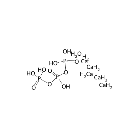 O.O=P(O)(O)OP(=O)(O)OP(=O)(O)O.[CaH2].[CaH2].[CaH2].[CaH2].[CaH2]